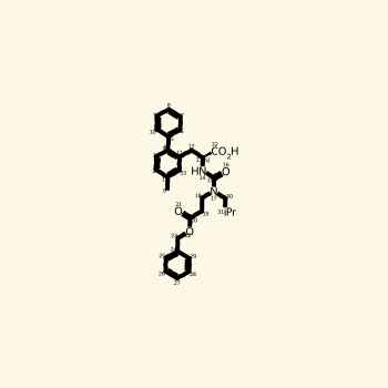 Cc1ccc(-c2ccccc2)c(C[C@H](NC(=O)N(CCC(=O)OCc2ccccc2)CC(C)C)C(=O)O)c1